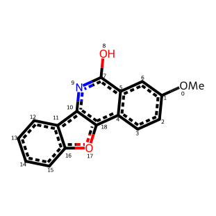 COc1ccc2c(c1)c(O)nc1c3ccccc3oc21